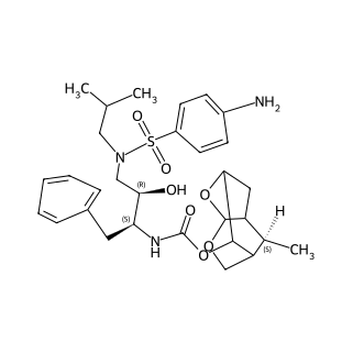 CC(C)CN(C[C@@H](O)[C@H](Cc1ccccc1)NC(=O)OC1C2CC3C(OCC1[C@@H]3C)O2)S(=O)(=O)c1ccc(N)cc1